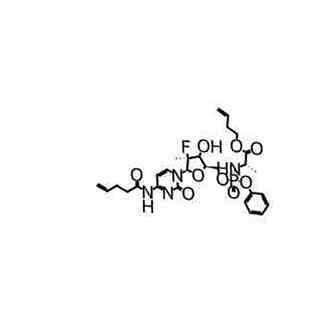 C=CCCOC(=O)[C@H](C)N[P@](=O)(OC[C@H]1O[C@@H](n2ccc(NC(=O)CCC=C)nc2=O)[C@@](C)(F)C1O)Oc1ccccc1